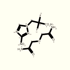 NC(=O)COCC(N)=O.O=C(O)C(F)(F)Cn1cnc([N+](=O)[O-])n1